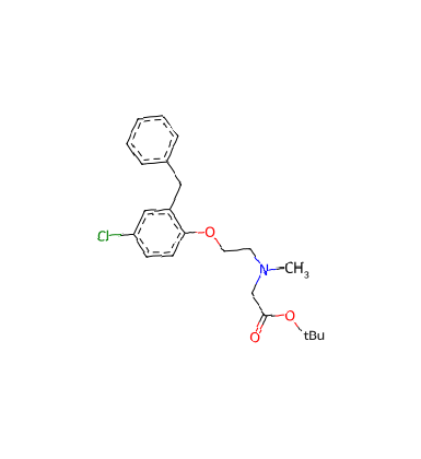 CN(CCOc1ccc(Cl)cc1Cc1ccccc1)CC(=O)OC(C)(C)C